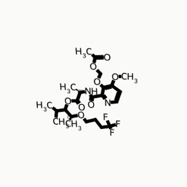 COc1ccnc(C(=O)N[C@@H](C)C(=O)OC(C(C)C)[C@H](C)OCCCC(F)(F)F)c1OCOC(C)=O